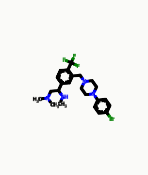 CNC(CN(C)C)c1ccc(C(F)(F)F)c(CN2CCN(c3ccc(Br)cc3)CC2)c1